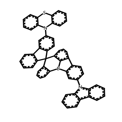 c1ccc2c(c1)Sc1ccccc1N2c1ccc2c(c1)-c1ccccc1C21c2ccccc2B2c3cc(-n4c5ccccc5c5ccccc54)ccc3-c3cccc1c32